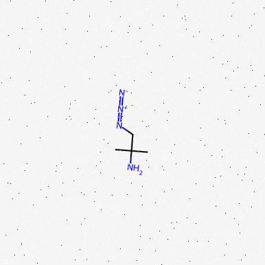 CC(C)(N)CN=[N+]=[N-]